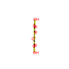 O=C(CCSCCC[S+]([O-])CCSCCSC(=O)CCSCCC(=O)OCCSCSCO)OCCSCSCO